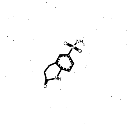 NS(=O)(=O)c1ccc2c(c1)CCC(=O)N2